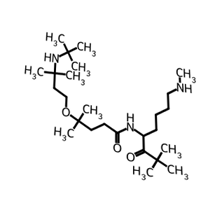 CNCCCCC(NC(=O)CCC(C)(C)OCCC(C)(C)NC(C)(C)C)C(=O)C(C)(C)C